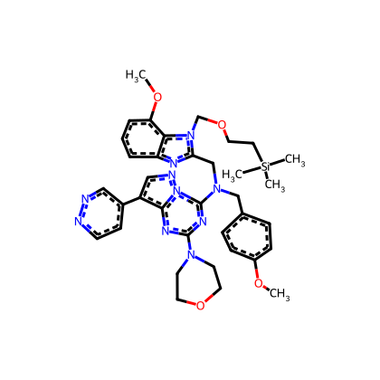 COc1ccc(CN(Cc2nc3cccc(OC)c3n2COCC[Si](C)(C)C)c2nc(N3CCOCC3)nc3c(-c4ccnnc4)cnn23)cc1